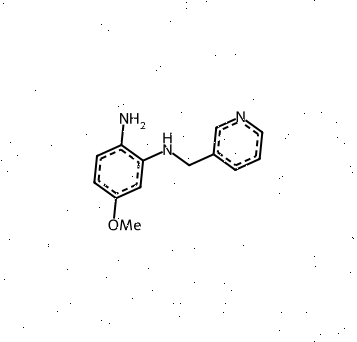 COc1ccc(N)c(NCc2cccnc2)c1